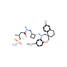 C[C@@H](CC(=O)N(C)C[C@@H]1CC[C@H]1CN1C[C@@]2(CCCc3cc(Cl)ccc32)COc2ccc(C(=O)O)cc21)[C@H](C)S(N)(=O)=O